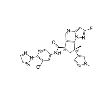 Cn1cc([C@]2(C)C[C@@H](C(=O)Nc3cnc(-n4nccn4)c(Cl)c3)c3cnc4cc(F)nn4c32)cn1